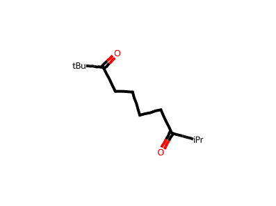 CC(C)C(=O)CCCCC(=O)C(C)(C)C